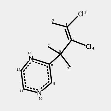 C/C(Cl)=C(/Cl)C(C)(C)c1cnccn1